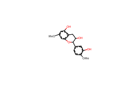 COc1cc(O)c2c(c1)OC(c1ccc(OC)c(O)c1)C(O)C2